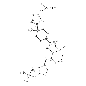 CC(C)(C)CN1CC[C@H](O[C@H]2CCCC(F)(F)[C@@H]2NC(=O)N2CCC(C)(c3noc([C@@H]4C[C@@H]4F)n3)CC2)C1